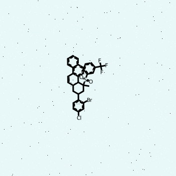 CC1(S(=O)(=O)c2cccc(C(F)(F)F)c2)CC(c2ccc(Cl)cc2Br)CC2C=Cc3c(ccc4ccccc34)C21